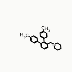 Cc1ccc(-c2cccc(CN3CCCCC3)c2-c2ccc(C)cc2)cc1